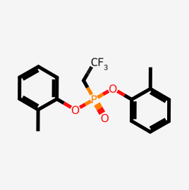 Cc1ccccc1OP(=O)(CC(F)(F)F)Oc1ccccc1C